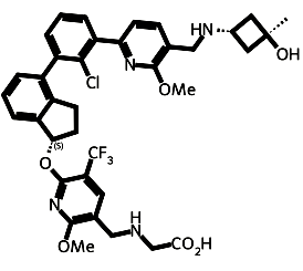 COc1nc(-c2cccc(-c3cccc4c3CC[C@@H]4Oc3nc(OC)c(CNCC(=O)O)cc3C(F)(F)F)c2Cl)ccc1CN[C@H]1C[C@](C)(O)C1